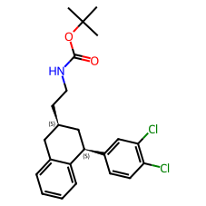 CC(C)(C)OC(=O)NCC[C@@H]1Cc2ccccc2[C@H](c2ccc(Cl)c(Cl)c2)C1